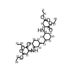 CCOC(=O)CC(NC1CCCC(CC2CCCC(NC(CC(=O)OCC)C(=O)OCC)C2)C1)C(=O)OCC